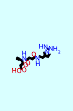 C#CC(NC(=O)CCC(=O)NCCC1=CCN(C(=N)N)C1)C(=O)CC(=O)O